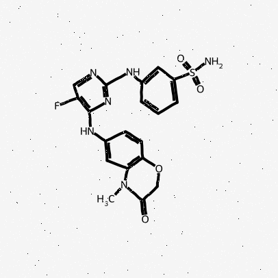 CN1C(=O)COc2ccc(Nc3nc(Nc4cccc(S(N)(=O)=O)c4)ncc3F)cc21